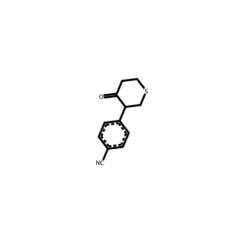 N#Cc1ccc(C2CSCCC2=O)cc1